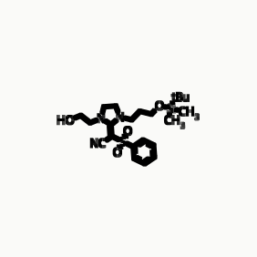 CC(C)(C)[Si](C)(C)OCCCN1CCN(CCO)C1=C(C#N)S(=O)(=O)c1ccccc1